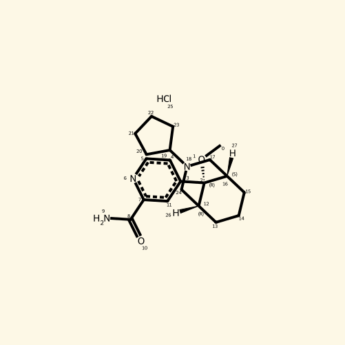 CO[C@@]1(c2ccnc(C(N)=O)c2)[C@@H]2CCC[C@H]1CN(C1CCCC1)C2.Cl